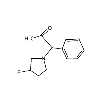 CC(=O)C(c1ccccc1)N1CCC(F)C1